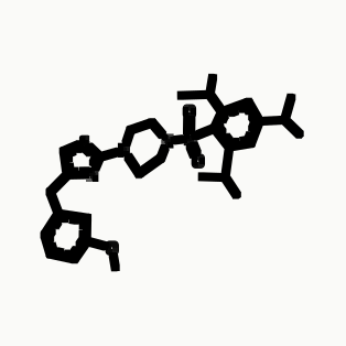 COc1cccc(Cc2csc(N3CCN(S(=O)(=O)c4c(C(C)C)cc(C(C)C)cc4C(C)C)CC3)n2)c1